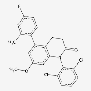 COc1cc(-c2ccc(F)cc2C)c2c(c1)N(c1c(Cl)cccc1Cl)C(=O)CC2